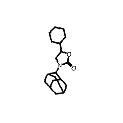 O=C1OC(C2CCCCC2)CN1C1C2CC3CC(C2)CC1C3